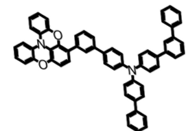 c1ccc(-c2ccc(N(c3ccc(-c4cccc(-c5ccccc5)c4)cc3)c3ccc(-c4cccc(-c5ccc6c7c5Oc5ccccc5N7c5ccccc5O6)c4)cc3)cc2)cc1